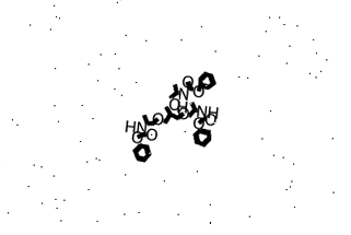 CC(COCC(COCC(C)NC(=O)Oc1ccccc1)COCC(C)NC(=O)Oc1ccccc1)NC(=O)Oc1ccccc1